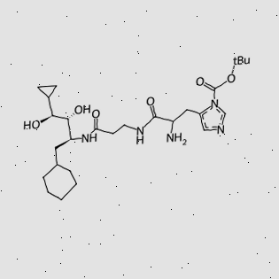 CC(C)(C)OC(=O)n1cncc1CC(N)C(=O)NCCC(=O)N[C@@H](CC1CCCCC1)[C@@H](O)[C@@H](O)C1CC1